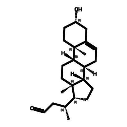 C[C@H](CC=O)[C@H]1CC[C@H]2[C@@H]3CC=C4C[C@@H](O)CC[C@]4(C)[C@H]3CC[C@]12C